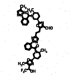 Cc1cnn(-c2ccccc2C(O)N2C[C@H](c3nc(C=O)c(CCc4cnn(-c5ccccc5C(=O)N5C[C@H](c6nc([C@@H](O)C(F)(F)F)c(C)o6)CC[C@H]5C)n4)o3)CC[C@H]2C)n1